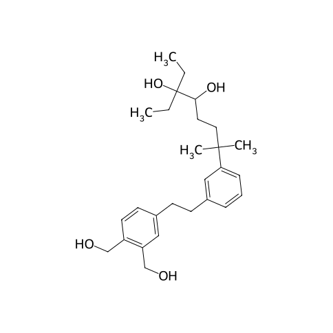 CCC(O)(CC)C(O)CCC(C)(C)c1cccc(CCc2ccc(CO)c(CO)c2)c1